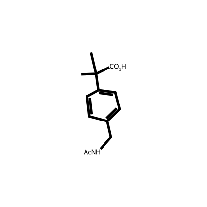 CC(=O)NCc1ccc(C(C)(C)C(=O)O)cc1